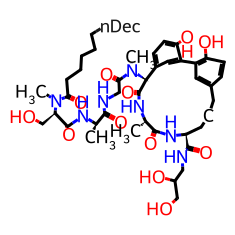 CCCCCCCCCCCCCCCC(=O)N(C)[C@H](CO)C(=O)N[C@H](C)C(=O)NCC(=O)N(C)[C@@H]1C(=O)N[C@@H](C)C(=O)N[C@H](C(=O)NCC(O)CO)CCCc2ccc(O)c(c2)-c2cc1ccc2O